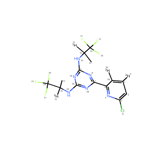 [2H]c1cc(Cl)nc(-c2nc(NC([2H])(C)C(F)(F)F)nc(NC([2H])(C)C(F)(F)F)n2)c1[2H]